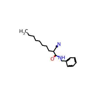 CCCCCCCCC(C#N)C(=O)NCc1ccccc1